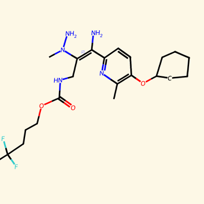 Cc1nc(/C(N)=C(\CNC(=O)OCCCC(C)(F)F)N(C)N)ccc1OC1CCCCC1